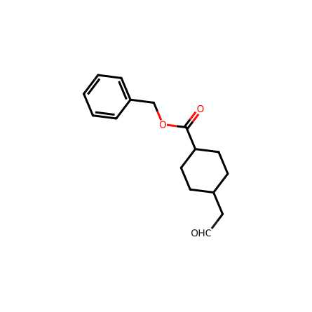 O=CCC1CCC(C(=O)OCc2ccccc2)CC1